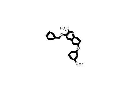 COc1cccc(Oc2ccc3nc(C(=O)O)c(OCc4ccccc4)cc3c2)c1